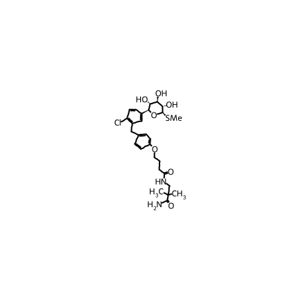 CS[C@H]1O[C@@H](c2ccc(Cl)c(Cc3ccc(OCCCC(=O)NCC(C)(C)C(N)=O)cc3)c2)[C@H](O)[C@@H](O)[C@@H]1O